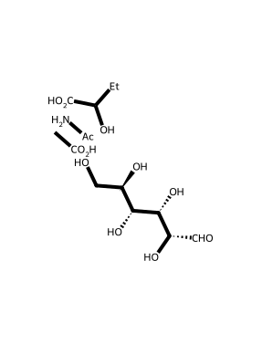 CC(=O)O.CC(N)=O.CCC(O)C(=O)O.O=C[C@H](O)[C@@H](O)[C@H](O)[C@H](O)CO